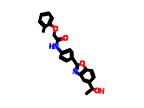 Cc1ccccc1OCC(=O)Nc1ccc(-c2nc3cc(C(C)O)ccc3o2)cc1